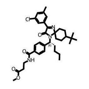 CCCC[C@H](c1ccc(C(=O)NCCC(=O)OC)cc1)N1C(=O)C(c2cc(C)cc(Cl)c2)=NC12CCC(C(C)(C)C)CC2